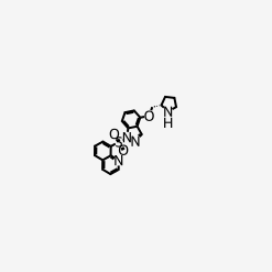 O=S(=O)(c1cccc2cccnc12)n1ncc2c(OC[C@@H]3CCCN3)cccc21